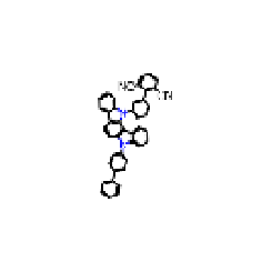 N#Cc1cccc(C#N)c1-c1cccc(-n2c3ccccc3c3ccc4c(c5ccccc5n4-c4ccc(-c5ccccc5)cc4)c32)c1